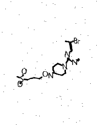 C=N/C(=N\C=C(/C)Br)N1CCC(=NOCCCS(C)(=O)=O)CC1